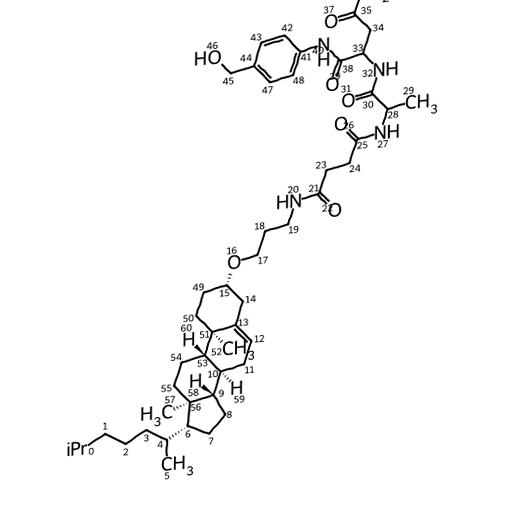 CC(C)CCCC(C)[C@H]1CC[C@H]2[C@@H]3CC=C4C[C@@H](OCCCNC(=O)CCC(=O)NC(C)C(=O)NC(CC(N)=O)C(=O)Nc5ccc(CO)cc5)CC[C@]4(C)[C@H]3CC[C@]12C